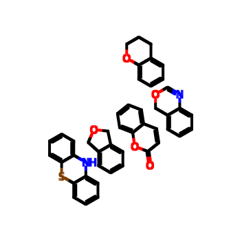 C1=Nc2ccccc2CO1.O=c1ccc2ccccc2o1.c1ccc2c(c1)CCCO2.c1ccc2c(c1)COC2.c1ccc2c(c1)Nc1ccccc1S2